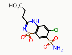 NS(=O)(=O)c1cc2c(cc1Cl)NC(CCC(=O)O)=NS2(=O)=O